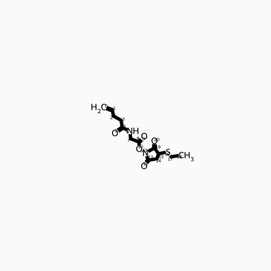 C=CCCC(=O)NCC(=O)ON1C(=O)CC(SCC)C1=O